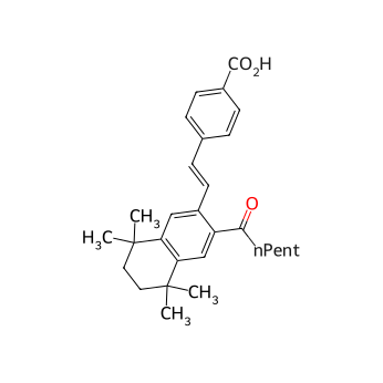 CCCCCC(=O)c1cc2c(cc1C=Cc1ccc(C(=O)O)cc1)C(C)(C)CCC2(C)C